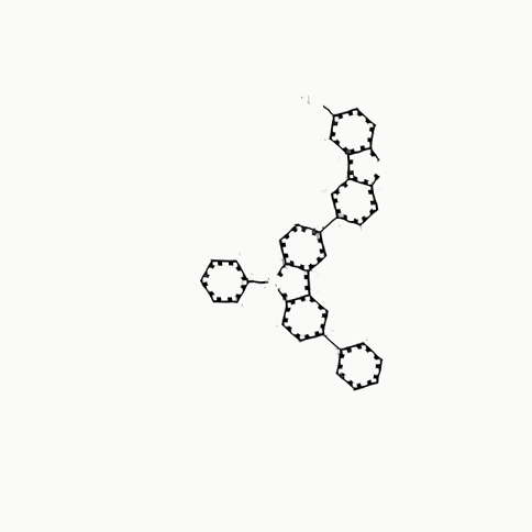 N#Cc1ccc2oc3ccc(-c4ccc5c(c4)c4cc(-c6ccccc6)ccc4n5-c4ccccc4)cc3c2c1